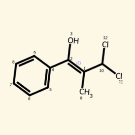 C/C(=C(/O)c1ccccc1)C(Cl)Cl